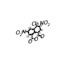 O=C1OC(=O)c2cc([N+](=O)[O-])c(Cl)c3cc([N+](=O)[O-])cc1c23